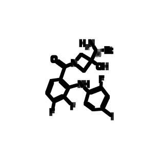 CC[C@@H](N)C1(O)CN(C(=O)c2ccc(F)c(F)c2Nc2ccc(I)cc2F)C1